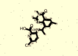 Cc1cc(C(C)Nc2ccc(Cl)nc2C(=O)O)c2nc(C)n(C)c(=O)c2c1